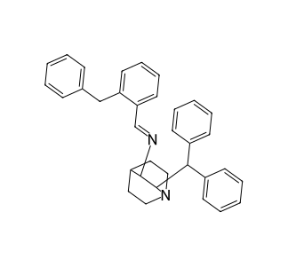 C(=NC1C2CCN(CC2)C1C(c1ccccc1)c1ccccc1)c1ccccc1Cc1ccccc1